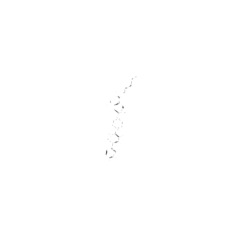 CCCCOC(=O)c1cnc(N2CCN(c3nnc(-c4ccc(F)nc4)c(C)c3C)C[C@H]2C)cc1C(F)(F)F